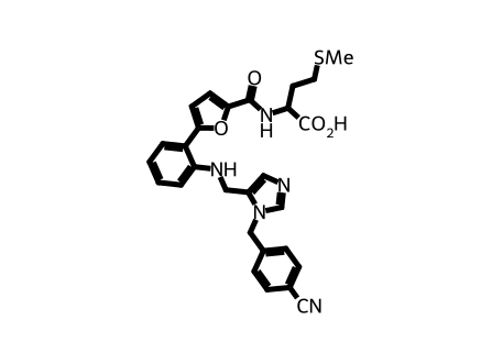 CSCCC(NC(=O)c1ccc(-c2ccccc2NCc2cncn2Cc2ccc(C#N)cc2)o1)C(=O)O